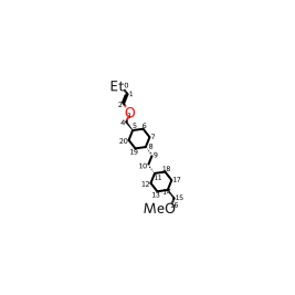 CCC=COC[C@H]1CC[C@H](CC[C@H]2CC[C@H](COC)CC2)CC1